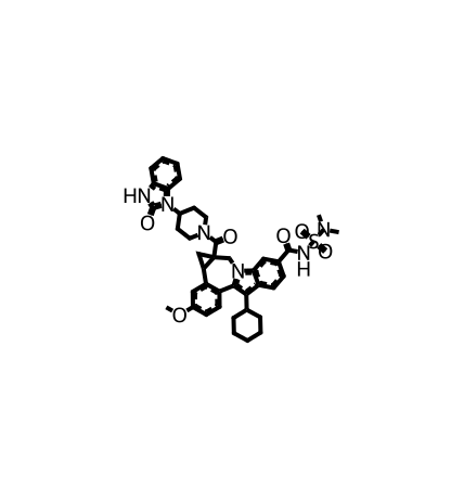 COc1ccc2c(c1)C1CC1(C(=O)N1CCC(n3c(=O)[nH]c4ccccc43)CC1)Cn1c-2c(C2CCCCC2)c2ccc(C(=O)NS(=O)(=O)N(C)C)cc21